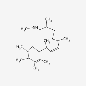 CC=C(C)C(C)C(C)CCC(C)/C=C\C(C)CCC(C)CNC